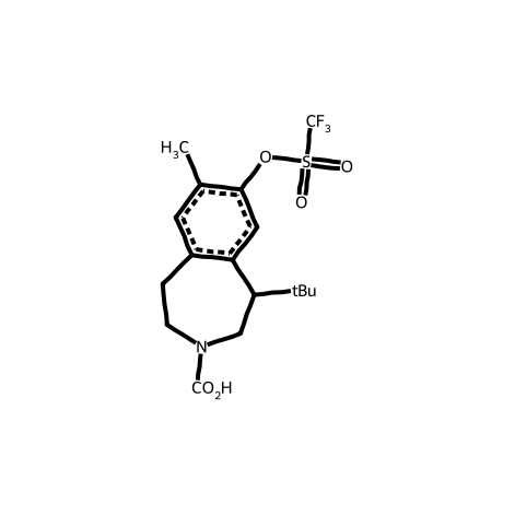 Cc1cc2c(cc1OS(=O)(=O)C(F)(F)F)C(C(C)(C)C)CN(C(=O)O)CC2